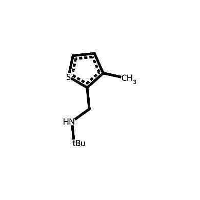 Cc1ccsc1CNC(C)(C)C